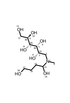 CN(C[C@H](O)[C@@H](O)[C@H](O)[C@H](O)CO)C(O)CCCO